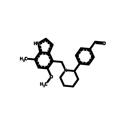 COc1cc(C)c2[nH]ccc2c1CN1CCCCC1c1ccc(C=O)cc1